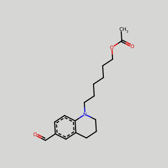 CC(=O)OCCCCCCN1CCCc2cc(C=O)ccc21